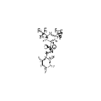 Cc1cc(C)c(/I=N/S(=O)(=O)c2cc(C(F)(F)F)cc(C(F)(F)F)c2)c(C)c1